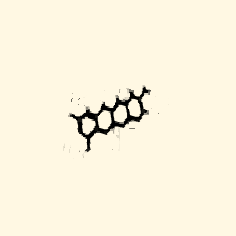 NCc1cc(I)c(O)c2c1C[C@@]1(N)C[C@H]3CC(O)=C(C(N)=O)C(=O)[C@@]3(O)C(O)=C1C2=O